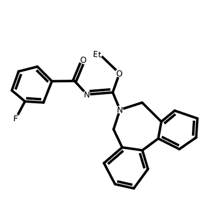 CCO/C(=N\C(=O)c1cccc(F)c1)N1Cc2ccccc2-c2ccccc2C1